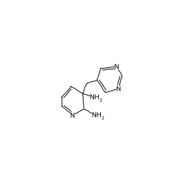 NC1N=CC=CC1(N)Cc1cncnc1